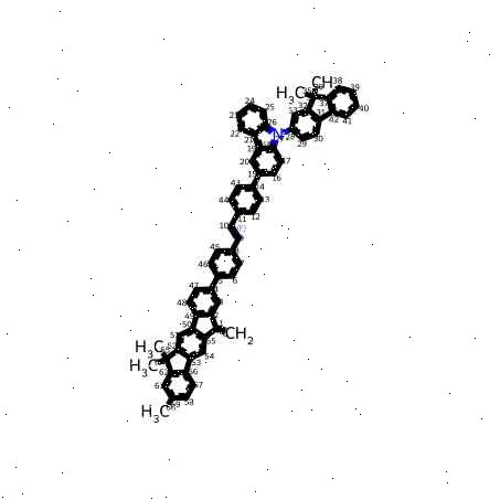 C=C1c2cc(-c3ccc(/C=C/c4ccc(-c5ccc6c(c5)c5ccccc5n6-c5ccc6c(c5)C(C)(C)c5ccccc5-6)cc4)cc3)ccc2-c2cc3c(cc21)-c1ccc(C)cc1C3(C)C